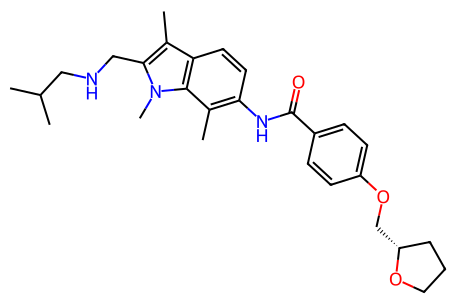 Cc1c(CNCC(C)C)n(C)c2c(C)c(NC(=O)c3ccc(OC[C@@H]4CCCO4)cc3)ccc12